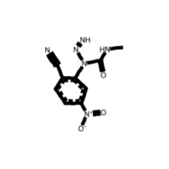 CNC(=O)N(N=N)c1cc([N+](=O)[O-])ccc1C#N